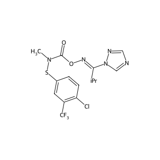 CC(C)C(=NOC(=O)N(C)Sc1ccc(Cl)c(C(F)(F)F)c1)n1cncn1